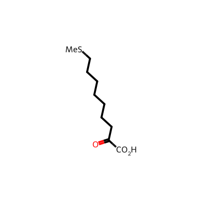 CSCCCCCCCC(=O)C(=O)O